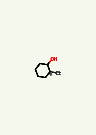 CC[C@H]1CCCCC1O